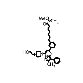 CON(C)C(=O)CCCCCCc1cccc(-c2cc(N3CCN(CCO)CC3)n3nc(C)c(-c4ccccc4)c3n2)c1